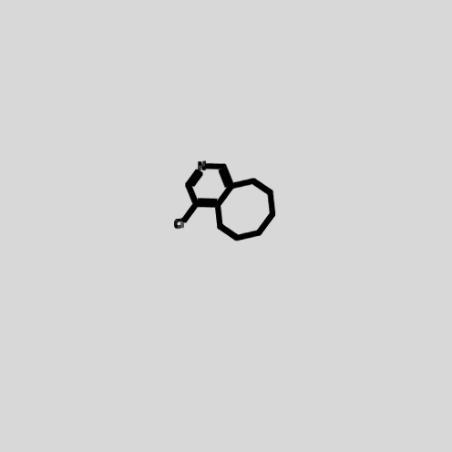 Clc1cncc2c1CCCCCC2